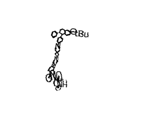 CC(C)(C)Oc1ccc2c(c1)CC[C@H](c1ccccc1)C2c1ccc(N2CCC3(CC2)CC(N2CCN(c4ccc5c(c4)CN(C4CCC(=O)NC4=O)C5=O)CC2)C3)cc1